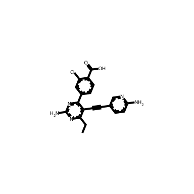 CCc1nc(N)nc(-c2ccc(C(=O)O)c(Cl)c2)c1C#Cc1ccc(N)nc1